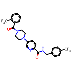 O=C(NCc1ccc(C(F)(F)F)cc1)c1ccc(N2CCN(C(=O)c3ccccc3C(F)(F)F)CC2)cn1